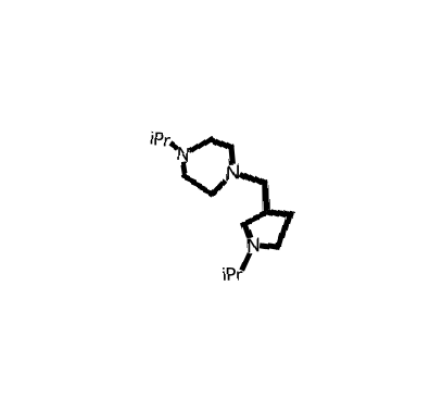 CC(C)N1CCN(CC2CCN(C(C)C)C2)CC1